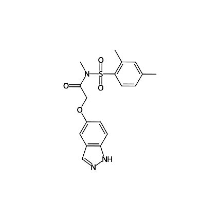 Cc1ccc(S(=O)(=O)N(C)C(=O)COc2ccc3[nH]ncc3c2)c(C)c1